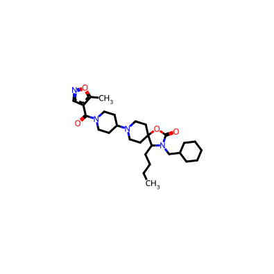 CCCCC1N(CC2CCCCC2)C(=O)OC12CCN(C1CCN(C(=O)c3cnoc3C)CC1)CC2